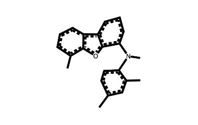 Cc1ccc(N(C)c2cccc3c2oc2c(C)cccc23)c(C)c1